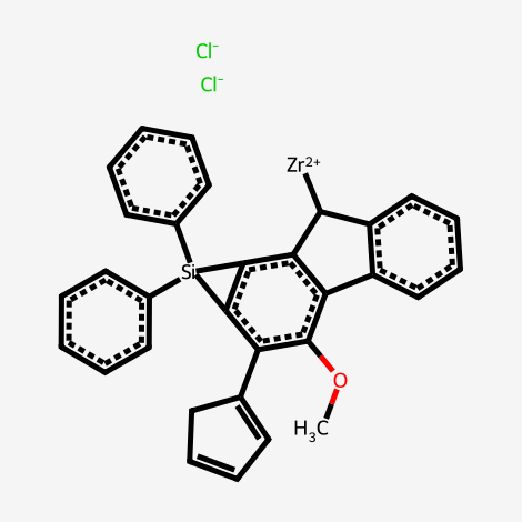 COc1c(C2=CC=CC2)c2c(c3c1-c1ccccc1[CH]3[Zr+2])[Si]2(c1ccccc1)c1ccccc1.[Cl-].[Cl-]